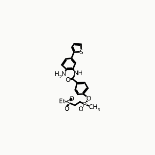 CCS(=O)(=O)CCP(C)(=O)Oc1ccc(C(=O)Nc2cc(-c3cccs3)ccc2N)cc1